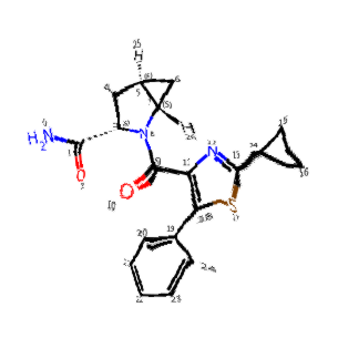 NC(=O)[C@@H]1C[C@H]2C[C@@H]2N1C(=O)c1nc(C2CC2)sc1-c1ccccc1